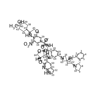 CC(C)c1ccccc1[C@@H]1CCCN1C1CC2(C1)CN(c1ccc(C(=O)NS(=O)(=O)c3cc4c(c([N+](=O)[O-])c3)N[C@@H](C3CCC(C)(O)CC3)CO4)c(N3c4cc5cc[nH]c5nc4O[C@@H]4COC[C@H]43)c1)C2